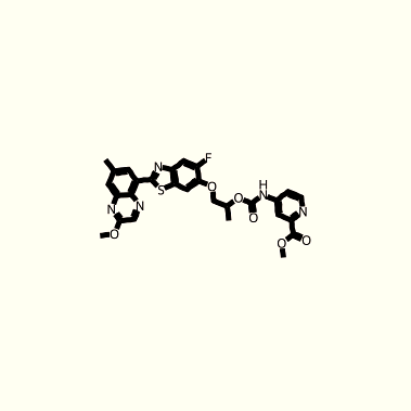 COC(=O)c1cc(NC(=O)OC(C)COc2cc3sc(-c4cc(C)cc5nc(OC)cnc45)nc3cc2F)ccn1